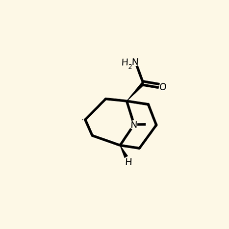 CN1[C@H]2C[CH]C[C@]1(C(N)=O)CCC2